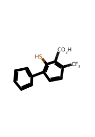 O=C(O)c1c(C(F)(F)F)ccc(-c2ccccc2)c1S